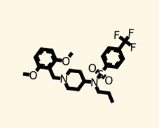 CCCN(C1CCN(Cc2c(OC)cccc2OC)CC1)S(=O)(=O)c1ccc(C(F)(F)F)cc1